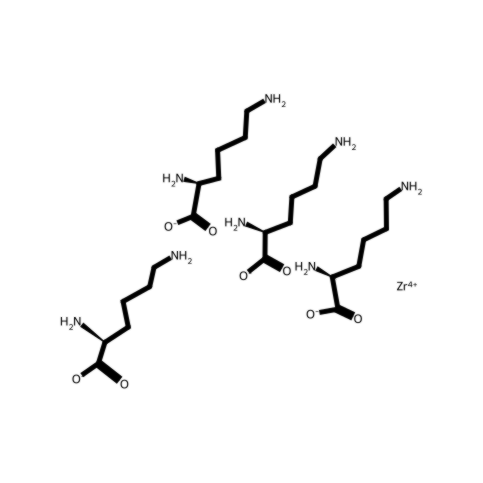 NCCCC[C@H](N)C(=O)[O-].NCCCC[C@H](N)C(=O)[O-].NCCCC[C@H](N)C(=O)[O-].NCCCC[C@H](N)C(=O)[O-].[Zr+4]